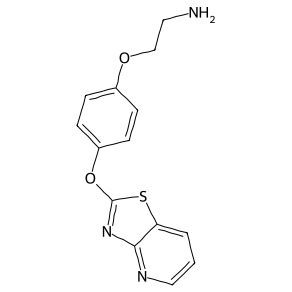 NCCOc1ccc(Oc2nc3ncccc3s2)cc1